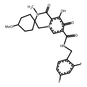 COC1CCC2(CC1)Cn1cc(C(=O)NCc3ccc(F)cc3F)c(=O)c(O)c1C(=O)N2C